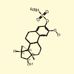 CCOc1cc2c(cc1OS(=O)(=O)NC(C)=O)CCC1C2CC[C@]2(C)[C@@H](O)C[C@@H]3C[C@@]132